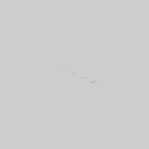 O=P(O)(O)C=CCCCCCCCCP(=O)(O)O